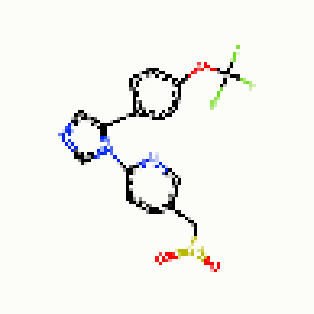 O=[SH](=O)Cc1ccc(-n2cncc2-c2ccc(OC(F)(F)F)cc2)nc1